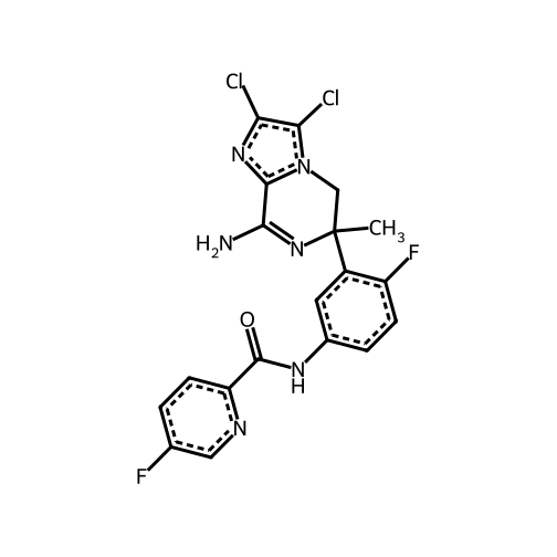 CC1(c2cc(NC(=O)c3ccc(F)cn3)ccc2F)Cn2c(nc(Cl)c2Cl)C(N)=N1